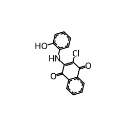 O=C1C(Cl)=C(Nc2ccccc2O)C(=O)c2ccccc21